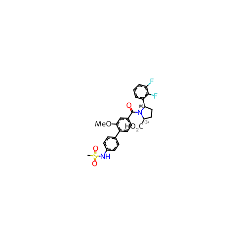 COc1cc(C(=O)N2[C@@H](c3cccc(F)c3F)CC[C@H]2C(=O)O)ccc1-c1ccc(NS(C)(=O)=O)cc1